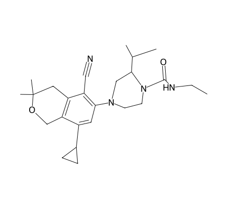 CCNC(=O)N1CCN(c2cc(C3CC3)c3c(c2C#N)CC(C)(C)OC3)CC1C(C)C